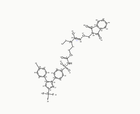 CCN(CCOC(=O)NS(=O)(=O)c1ccc(-n2nc(C(F)(F)F)cc2-c2ccc(C)cc2)cc1)/[N+]([O-])=N/OCN1C(=O)c2ccccc2C1=O